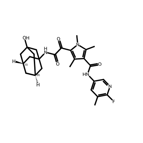 Cc1cc(NC(=O)c2c(C)c(C(=O)C(=O)NC34C[C@@H]5C[C@@H](CC(O)(C5)C3)C4)n(C)c2C)cnc1F